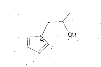 CC(O)C[SH]1C=CC=C1